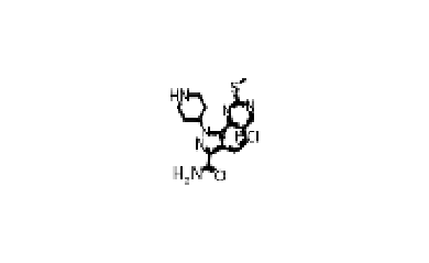 CSc1ncc2ccc3c(C(N)=O)nn(C4CCNCC4)c3c2n1.Cl